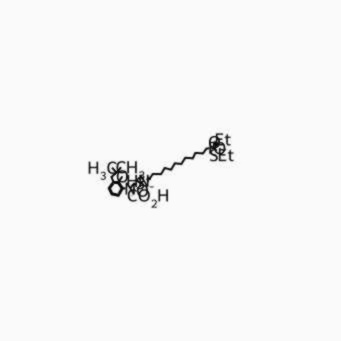 CCOP(=S)(CCCCCCCCCCCCN[S+]([O-])CN(C(=O)O)c1cccc2c1OC(C)(C)C2)OCC